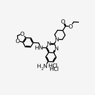 CCOC(=O)C1CCN(c2nc(NCc3ccc4c(c3)OCO4)c3cc(N)ccc3n2)CC1.Cl.Cl